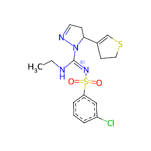 CCN/C(=N\S(=O)(=O)c1cccc(Cl)c1)N1N=CCC1C1=CSCC1